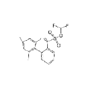 C=C(c1ccccc1-c1c(C)cc(C)cc1C)S(=O)(=O)OC(F)F